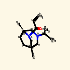 C=CC(=O)N1C[C@H]2CC[C@H]1CN(C(C)C)C2